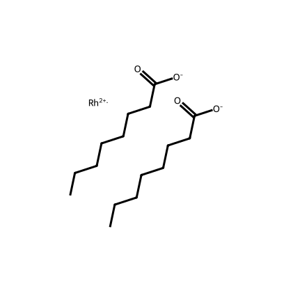 CCCCCCCC(=O)[O-].CCCCCCCC(=O)[O-].[Rh+2]